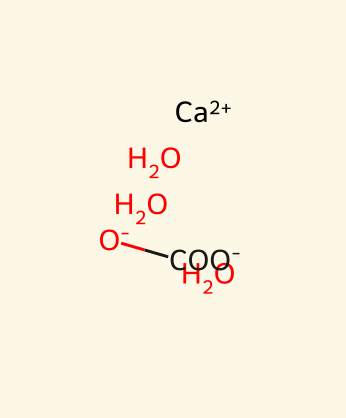 O.O.O.O=C([O-])[O-].[Ca+2]